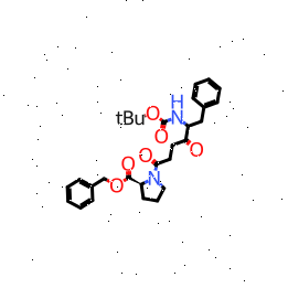 CC(C)(C)OC(=O)NC(Cc1ccccc1)C(=O)CCC(=O)N1CCC[C@H]1C(=O)OCc1ccccc1